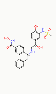 CS(=O)(=O)Nc1cc([C@@H](O)CN[C@H](Cc2ccccc2)c2ccc(C(=O)NO)cc2)ccc1O